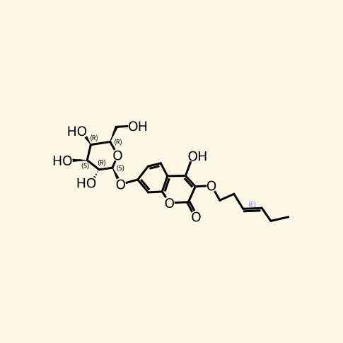 CC/C=C/CCOc1c(O)c2ccc(O[C@@H]3O[C@H](CO)[C@H](O)[C@H](O)[C@H]3O)cc2oc1=O